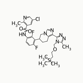 Cc1ncc(Cl)cc1S(=O)(=O)Nc1ccc(F)c(C2CCc3c(-c4nnc(C)n4COCC[Si](C)(C)C)ncn3C2)c1F